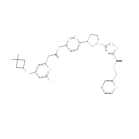 Cc1cc(OC2CC(F)(F)C2)cc(CC(=O)Nc2ccc(C3CCN(c4nnc(C(=O)NCc5ccccn5)s4)C3)nn2)n1